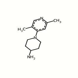 Cc1cc(N2CCC(N)CC2)c(C)cn1